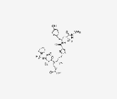 CCCC(=O)OCN(C(=O)[C@@H](NC(=O)[C@H]1CCCCN1C)C(C)CC)[C@H](CCc1nc(C(=O)N[C@@H](Cc2ccc(O)cc2)C[C@H](C)C(=O)NNC)cs1)C(C)C